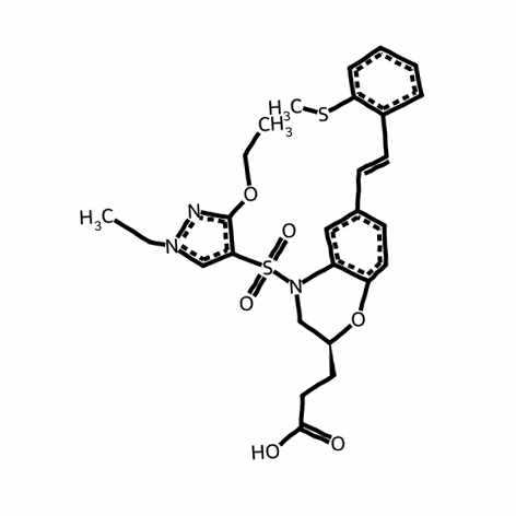 CCOc1nn(CC)cc1S(=O)(=O)N1C[C@H](CCC(=O)O)Oc2ccc(/C=C/c3ccccc3SC)cc21